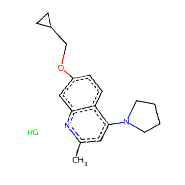 Cc1cc(N2CCCC2)c2ccc(OCC3CC3)cc2n1.Cl